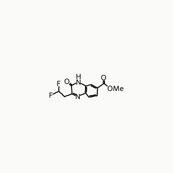 COC(=O)c1ccc2nc(CC(F)F)c(=O)[nH]c2c1